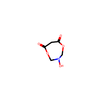 O=C1CC(=O)OCN(O)CO1